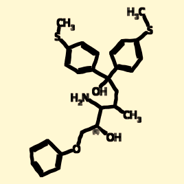 CSc1ccc(C(O)(CC(C)C(N)[C@@H](O)COc2ccccc2)c2ccc(SC)cc2)cc1